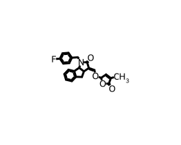 CC1=CC(OC=C2C(=O)N(Cc3ccc(F)cc3)C3c4ccccc4CC23)OC1=O